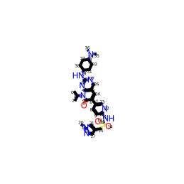 CC(C)n1c(=O)c(-c2ccc(NS(=O)(=O)Cc3cnn(C)c3)nc2)cc2cnc(NC3CCC(N(C)C)CC3)nc21